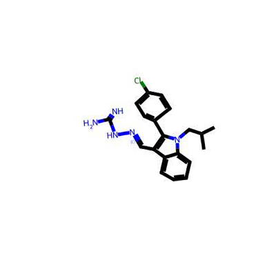 CC(C)Cn1c(-c2ccc(Cl)cc2)c(/C=N/NC(=N)N)c2ccccc21